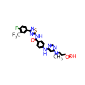 CN(CCCOO)c1cc(Nc2ccc(C(=O)Nc3nc(-c4ccc(F)c(C(F)(F)F)c4)ns3)cc2)ncn1